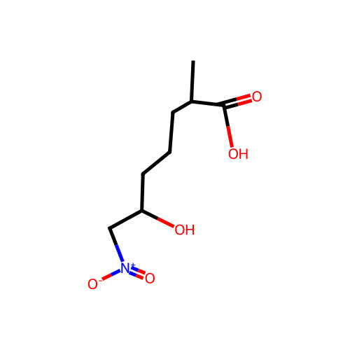 CC(CCCC(O)C[N+](=O)[O-])C(=O)O